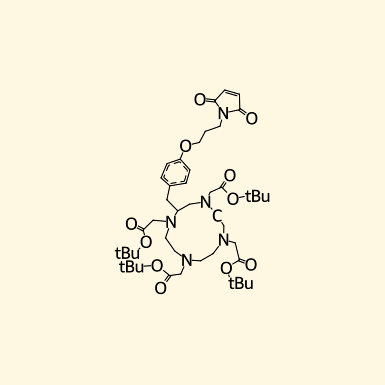 CC(C)(C)OC(=O)CN1CCN(CC(=O)OC(C)(C)C)CCN(CC(=O)OC(C)(C)C)C(Cc2ccc(OCCCN3C(=O)C=CC3=O)cc2)CN(CC(=O)OC(C)(C)C)CC1